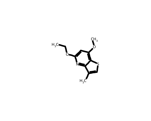 CCOc1cc(OC)c2scc(C)c2n1